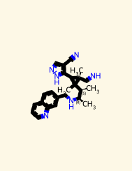 C[C@H]([C@@H](C)NCc1ccc2cccnc2c1)C1(C)C(c2[nH]ncc2C#N)[C@@]1(C)C=N